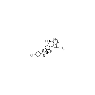 Cn1cc(-c2cccc(NS(=O)(=O)c3ccc(Cl)cc3)c2F)c2c(N)ncnc21